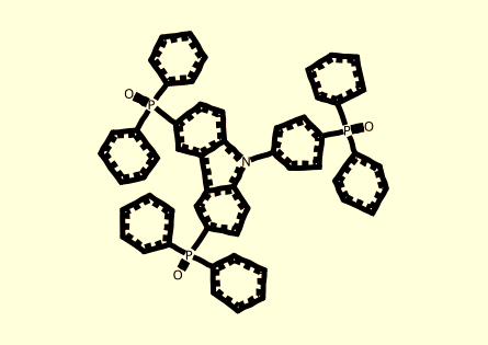 O=P(c1ccccc1)(c1ccccc1)c1ccc(-n2c3ccc(P(=O)(c4ccccc4)c4ccccc4)cc3c3cc(P(=O)(c4ccccc4)c4ccccc4)ccc32)cc1